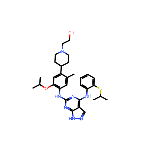 Cc1cc(Nc2nc(Nc3ccccc3SC(C)C)c3cn[nH]c3n2)c(OC(C)C)cc1C1CCN(CCO)CC1